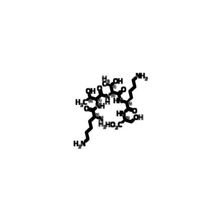 C[C@@H](O)[C@H](NC(=O)[C@@H](NC(=O)[C@@H](N)CCCCN)[C@@H](C)O)C(=O)N[C@@H](CCCCN)C(=O)N[C@@H](CO)C(=O)O